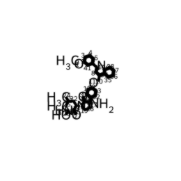 COc1cccc(-c2cc(COc3ccc(C4(N)CCN(C(CC(C)C)C(=O)NO)C4=O)cc3)c3ccccc3n2)c1